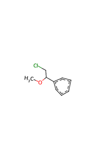 COC(CCl)c1ccccc1